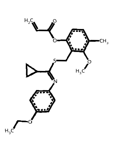 C=CC(=O)Oc1ccc(C)c(OC)c1CSC(=Nc1ccc(OCC)cc1)C1CC1